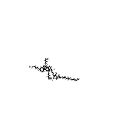 CCCCCCCCN(CCC[C@@H](C)[C@H]1CC[C@H]2C3[C@H](OCCCN)CC4C[C@H](OCCCN)CCC4(C)[C@H]3C[C@H](OCCCN)C12C)C(=O)NCCOCCOCCOCCN=[N+]=[N-]